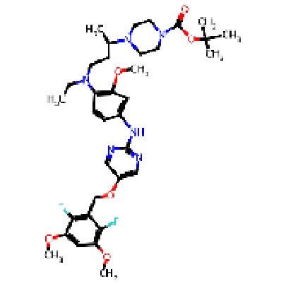 CCN(CCC(C)N1CCN(C(=O)OC(C)(C)C)CC1)c1ccc(Nc2ncc(OCc3c(F)c(OC)cc(OC)c3F)cn2)cc1OC